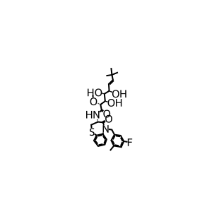 CO[C@@H](C(=O)N[C@H]1CSc2ccccc2N(Cc2cc(C)cc(F)c2)C1=O)[C@H](O)[C@@H](O)[C@H](O)/C=C/C(C)(C)C